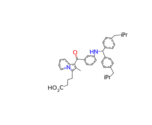 Cc1c(C(=O)c2cccc(NC(c3ccc(CC(C)C)cc3)c3ccc(CC(C)C)cc3)c2)c2ccccn2c1CCCC(=O)O